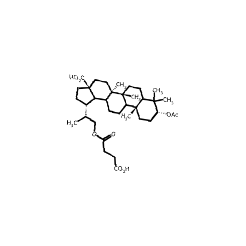 CC(=O)O[C@@H]1CC[C@@]2(C)C(CC[C@]3(C)C2CCC2C4[C@H](C(C)COC(=O)CCC(=O)O)CC[C@]4(C(=O)O)CC[C@]23C)C1(C)C